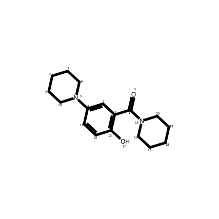 O=C(c1cc(N2CCCCC2)ccc1O)N1CCCCC1